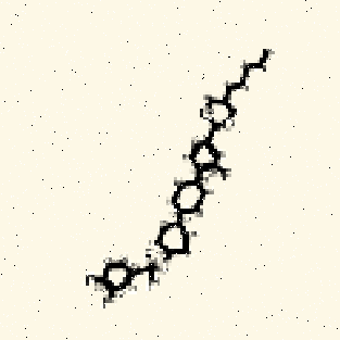 CCCCCC1COC(c2ccc(C3CCC(C4CCC(OC(F)(F)c5ccc(F)c(F)c5)CC4)CC3)c(F)c2)OC1